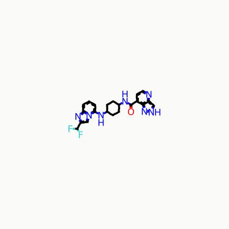 O=C(NC1CCC(Nc2cccc3nc(C(F)F)cn23)CC1)c1ccnc2c[nH]nc12